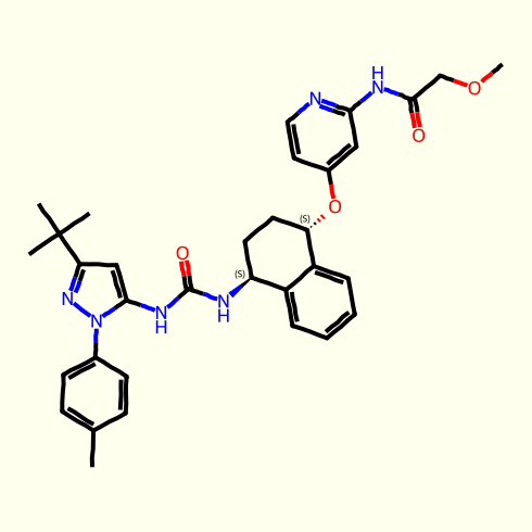 COCC(=O)Nc1cc(O[C@H]2CC[C@H](NC(=O)Nc3cc(C(C)(C)C)nn3-c3ccc(C)cc3)c3ccccc32)ccn1